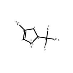 FC1=CNC(C(F)(F)F)C1